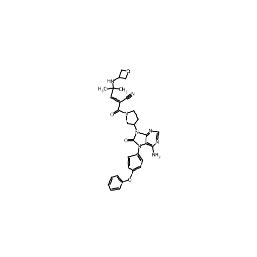 CC(C)(C=C(C#N)C(=O)N1CCC(n2c(=O)n(-c3ccc(Oc4ccccc4)cc3)c3c(N)ncnc32)C1)NC1COC1